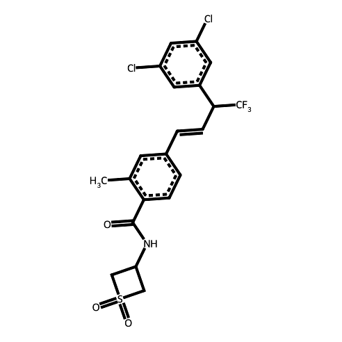 Cc1cc(/C=C/C(c2cc(Cl)cc(Cl)c2)C(F)(F)F)ccc1C(=O)NC1CS(=O)(=O)C1